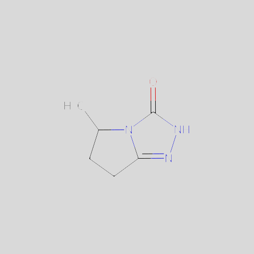 CC1CCc2n[nH]c(=O)n21